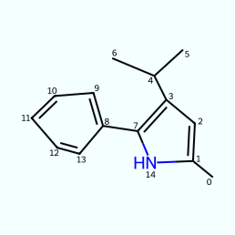 Cc1cc(C(C)C)c(-c2ccccc2)[nH]1